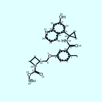 Cc1ccc(OC[C@@H]2CCN2C(=O)OC(C)(C)C)cc1C(=O)NC1(c2cc(O)cc3ncccc23)CC1